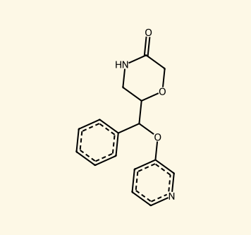 O=C1COC(C(Oc2cccnc2)c2ccccc2)CN1